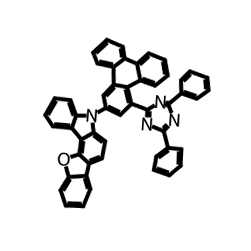 c1ccc(-c2nc(-c3ccccc3)nc(-c3cc(-n4c5ccccc5c5c6oc7ccccc7c6ccc54)cc4c5ccccc5c5ccccc5c34)n2)cc1